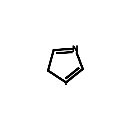 [C]1=CN=CC1